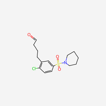 O=CCCCc1cc(S(=O)(=O)N2CCCCC2)ccc1Cl